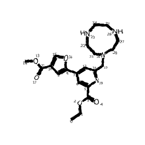 CCOC(=O)c1cc(-c2cc(C(=O)OC)co2)cc(CN2CCNCCNCC2)n1